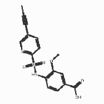 CC#Cc1ccc(S(=O)(=O)Nc2ccc(C(=O)O)cc2OC)nc1